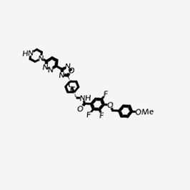 COc1ccc(COc2c(F)cc(C(=O)NC[C@]34CC[C@](c5nc(-c6ccc(N7CCNCC7)nn6)no5)(CC3)CC4)c(F)c2F)cc1